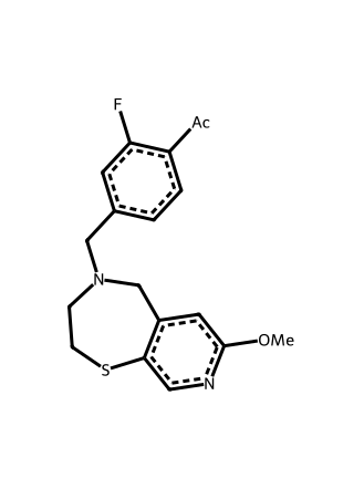 COc1cc2c(cn1)SCCN(Cc1ccc(C(C)=O)c(F)c1)C2